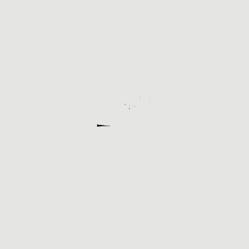 C[C@@H](N)CC(=O)O.[Ca]